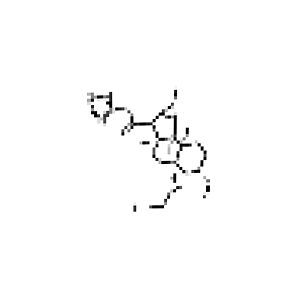 CC[C@H]1CC[C@@H]2[C@H](CC[C@]3(C)[C@@H](C(=O)Cn4ncnn4)C4C(C)C4[C@@H]23)[C@H]1CCCO